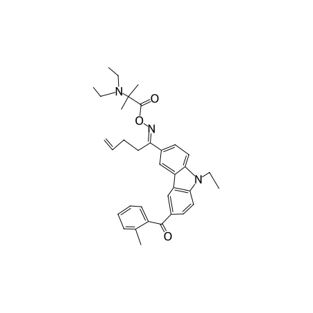 C=CCC/C(=N\OC(=O)C(C)(C)N(CC)CC)c1ccc2c(c1)c1cc(C(=O)c3ccccc3C)ccc1n2CC